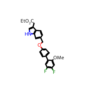 CCOC(=O)Cc1c[nH]c2cc(COc3ccc(-c4cc(F)c(F)cc4OC)cc3)ccc12